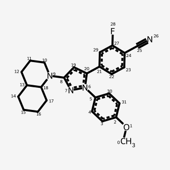 COc1ccc(-n2nc(N3CCCC4CCCCC43)cc2-c2ccc(C#N)c(F)c2)cc1